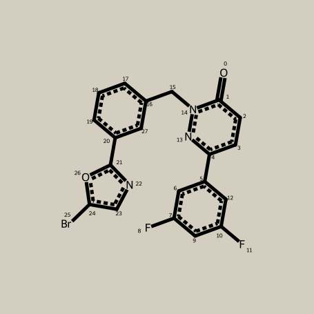 O=c1ccc(-c2cc(F)cc(F)c2)nn1Cc1cccc(-c2ncc(Br)o2)c1